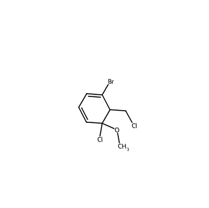 COC1(Cl)C=CC=C(Br)C1CCl